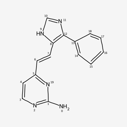 Nc1nccc(/C=C/c2[nH]cnc2-c2ccccc2)n1